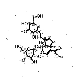 COC(=O)C1=CO[C@@H](O[C@@H]2O[C@H](CO)[C@@H](O)[C@H](O)[C@H]2O)[C@@H]2C(CO[C@@H]3O[C@H](CO)[C@@H](O)[C@H](O)[C@H]3O)=CC[C@H]12